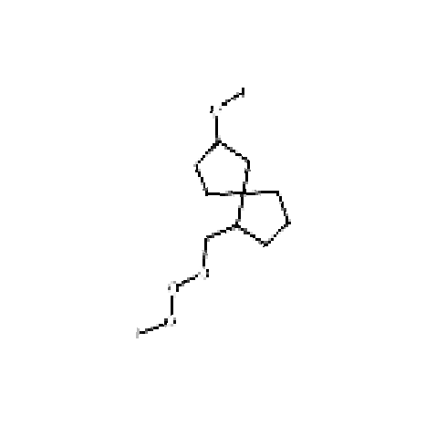 IOOOCC1CCCC12CCC(OI)C2